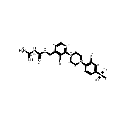 CS(=O)(=O)c1ccc(N2CCN(c3nccc(COC(=O)NC(=N)N)c3F)CC2)c(F)c1